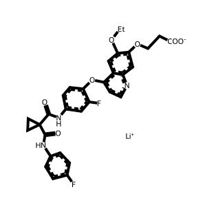 CCOc1cc2c(Oc3ccc(NC(=O)C4(C(=O)Nc5ccc(F)cc5)CC4)cc3F)ccnc2cc1OCCC(=O)[O-].[Li+]